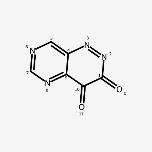 O=C1N=Nc2cncnc2C1=O